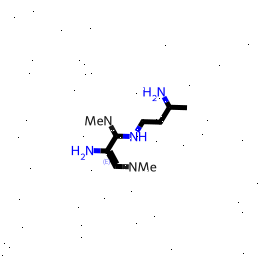 CN/C=C(/N)C(NC)NCCC(C)N